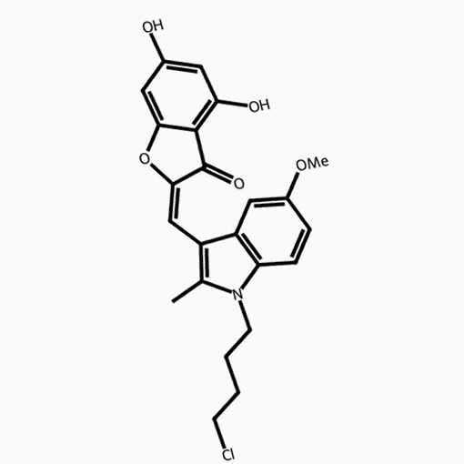 COc1ccc2c(c1)c(C=C1Oc3cc(O)cc(O)c3C1=O)c(C)n2CCCCCl